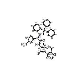 Nc1nc(/C(=N/OC(c2ccccc2)(c2ccccc2)c2ccccc2)C(=O)N[C@@H]2C(=O)N3C(C(=O)O)=C(Cl)CS[C@H]23)ns1